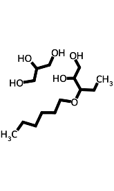 CCCCCCOC(CC)C(O)CO.OCC(O)CO